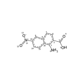 Nc1c(C(=O)O)ccc2cc([N+](=O)[O-])ccc12